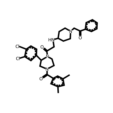 Cc1cc(C)cc(C(=O)N2CCN(C(=O)CNC3CCN(CC(=O)c4ccccc4)CC3)C(c3ccc(Cl)c(Cl)c3)C2)c1